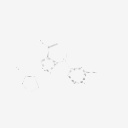 N#C[C@H]1CSC[C@H]1n1cc(C(N)=O)c(Nc2ccnc(F)c2)n1